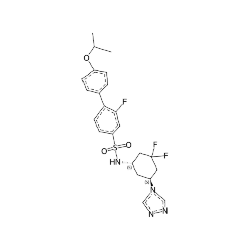 CC(C)Oc1ccc(-c2ccc(S(=O)(=O)N[C@H]3C[C@H](n4cnnc4)CC(F)(F)C3)cc2F)cc1